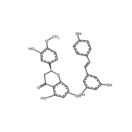 COc1ccc([C@@H]2CC(=O)c3c(O)cc(O)cc3O2)cc1O.Oc1ccc(/C=C/c2cc(O)cc(O)c2)cc1